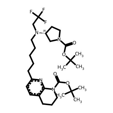 CC(C)(C)OC(=O)N1CC[C@@H](N(CCCCCc2ccc3c(n2)N(C(=O)OC(C)(C)C)CCC3)CC(F)(F)F)C1